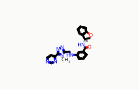 Cn1c(CNc2cccc(C(=O)N[C@H]3COc4ccccc43)c2)nnc1-c1ccncn1